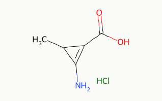 CC1C(N)=C1C(=O)O.Cl